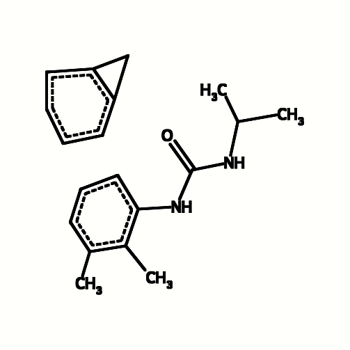 Cc1cccc(NC(=O)NC(C)C)c1C.c1ccc2c(c1)C2